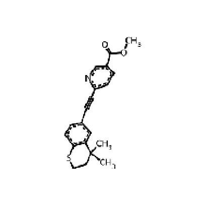 COC(=O)c1ccc(C#Cc2ccc3c(c2)C(C)(C)CCS3)nc1